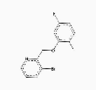 Fc1ccc(I)c(OCc2ncccc2Br)c1